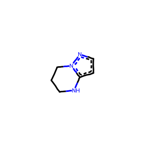 c1cc2n(n1)CCCN2